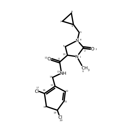 CN1C(=O)N(CC2CC2)CC1C(=O)NCC1=C(Cl)CC(Cl)C=C1